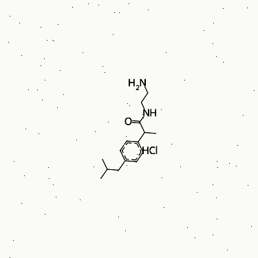 CC(C)Cc1ccc(C(C)C(=O)NCCN)cc1.Cl